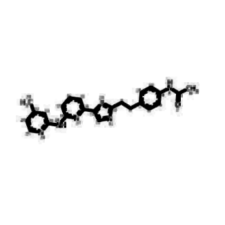 CC(=O)Nc1ccc(CCc2ncc(-c3cccc(Nc4cc(C)ccn4)n3)s2)cc1